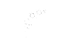 CC(C)(C)CCN1C[C@H]2CC(Oc3ccc(-c4ccc(C(F)(F)F)cc4)nn3)C[C@H]2C1